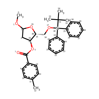 COC1C[C@H](OC(=O)c2ccc(C)cc2)[C@@H](CO[Si](c2ccccc2)(c2ccccc2)C(C)(C)C)O1